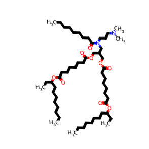 CCCCCCCCC(=O)N(CCCN(C)C)CC(COC(=O)CCCCCCC(=O)OC(CC)CCCCCCCC)COC(=O)CCCCCCC(=O)OC(CC)CCCCCCCC